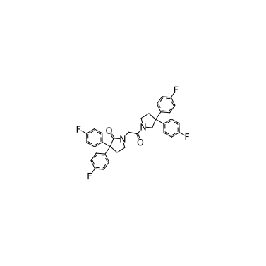 O=C(CN1CCC(c2ccc(F)cc2)(c2ccc(F)cc2)C1=O)N1CCC(c2ccc(F)cc2)(c2ccc(F)cc2)C1